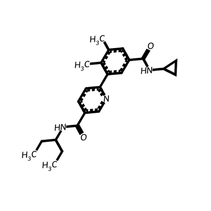 CCC(CC)NC(=O)c1ccc(-c2cc(C(=O)NC3CC3)cc(C)c2C)nc1